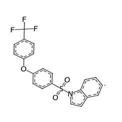 O=S(=O)(c1ccc(Oc2ccc(C(F)(F)F)cc2)cc1)n1ccc2c[c]ccc21